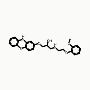 COc1ccccc1OCCNCC(O)COc1ccc2c(c1)Nc1ccccc1S2